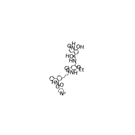 CCOc1cc(NC(=O)CCCc2ccc(-c3ccccc3)c(NC(=O)OC3CC[N+](C)(C)CC3)c2)c(Cl)cc1CNC[C@H](O)c1ccc(O)c2[nH]c(=O)ccc12